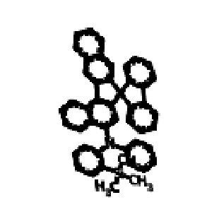 C[Si](C)(C)c1ccccc1N(c1ccccc1)c1cc2c(c3ccccc13)-c1cc3ccccc3cc1C21c2ccccc2-c2ccccc21